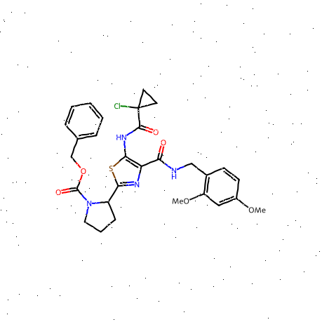 COc1ccc(CNC(=O)c2nc(C3CCCN3C(=O)OCc3ccccc3)sc2NC(=O)C2(Cl)CC2)c(OC)c1